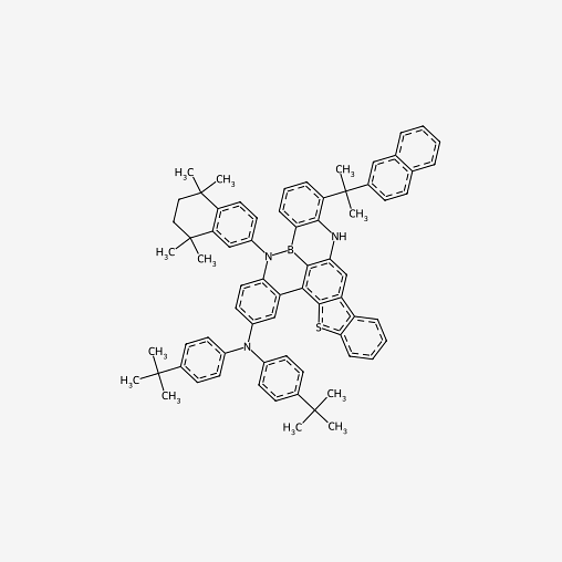 CC(C)(C)c1ccc(N(c2ccc(C(C)(C)C)cc2)c2ccc3c(c2)-c2c4c(cc5c2sc2ccccc25)Nc2c(cccc2C(C)(C)c2ccc5ccccc5c2)B4N3c2ccc3c(c2)C(C)(C)CCC3(C)C)cc1